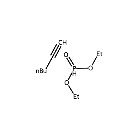 C#CCCCC.CCO[PH](=O)OCC